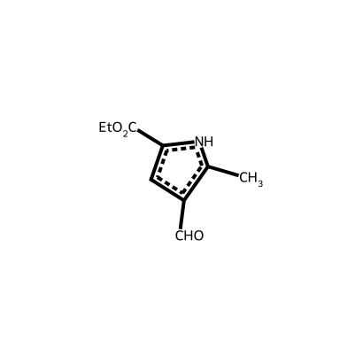 CCOC(=O)c1cc(C=O)c(C)[nH]1